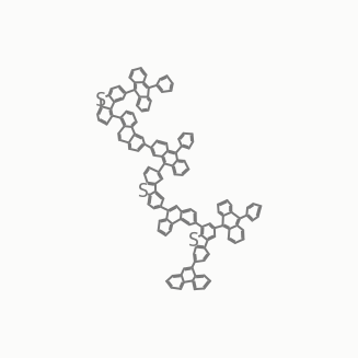 c1ccc(-c2c3ccccc3c(-c3cc(-c4ccc5cc(-c6ccc7sc8ccc(-c9c%10ccccc%10c(-c%10ccccc%10)c%10ccc(-c%11ccc%12ccc%13c(-c%14cccc%15sc%16ccc(-c%17c%18ccccc%18c(-c%18ccccc%18)c%18ccccc%17%18)cc%16c%14%15)cccc%13c%12c%11)cc9%10)cc8c7c6)c6ccccc6c5c4)c4sc5cc(-c6cc7ccccc7c7ccccc67)ccc5c4c3)c3ccccc23)cc1